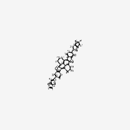 c1cc2sc(-c3ccc4c(c3)oc3c5c6c(c7c(oc8cc(-c9cc%10sccc%10s9)ccc87)c7c6c(c34)CCC7)CCC5)cc2s1